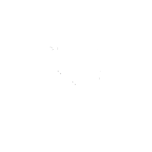 C=C(CC)[n+]1c(-c2c(CCC)ccc3c2oc2ccccc23)n(-c2ccccc2-c2ccccc2)c2ccccc21